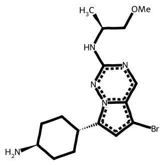 COC[C@H](C)Nc1ncc2c(Br)cc([C@H]3CC[C@H](N)CC3)n2n1